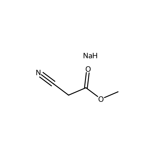 COC(=O)CC#N.[NaH]